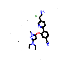 CCN(CC)c1cc(Oc2cc(C#N)ccc2-c2ccc([C@H](F)CN)cn2)n(C)n1